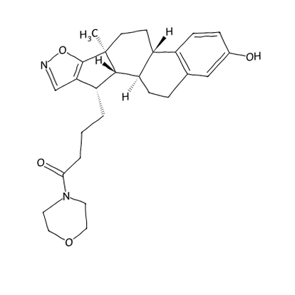 C[C@]12CC[C@@H]3c4ccc(O)cc4CC[C@H]3[C@@H]1[C@H](CCCC(=O)N1CCOCC1)c1cnoc12